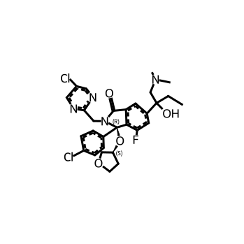 CCC(O)(CN(C)C)c1cc(F)c2c(c1)C(=O)N(Cc1ncc(Cl)cn1)[C@@]2(O[C@H]1CCOC1)c1ccc(Cl)cc1